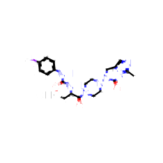 Cc1ncc2n1C(=O)N(N1CCN(C(=O)C(CC=O)NC(=O)Nc3ccc(I)cc3)CC1)C2